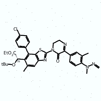 C=NN(C)c1ccc(C2=NCCN(c3nc4cc(C)c([C@H](OC(C)(C)C)C(=O)OCC)c(-c5ccc(Cl)cc5)c4s3)C2=O)cc1C